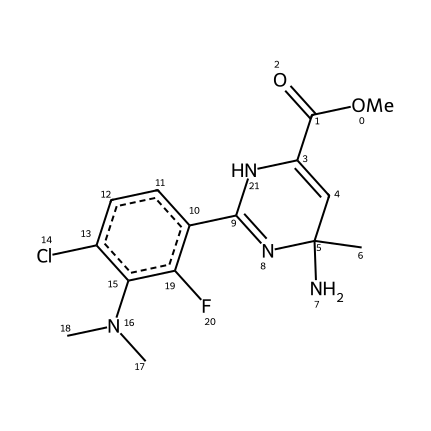 COC(=O)C1=CC(C)(N)N=C(c2ccc(Cl)c(N(C)C)c2F)N1